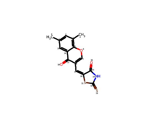 Cc1cc(C)c2occ(C=C3SC(=S)NC3=O)c(=O)c2c1